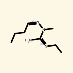 CCC/C=N\N(C)/C(N)=N\CC